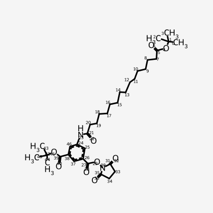 CC(C)(C)OC(=O)CCCCCCCCCCCCCCC(=O)Nc1cc(C(=O)ON2C(=O)CCC2=O)cc(C(=O)OC(C)(C)C)c1